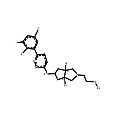 CCOCCN1C[C@H]2CC(Nc3ccc(-c4cc(F)cc(F)c4F)nn3)C[C@H]2C1